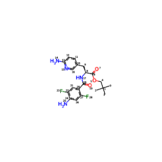 CC(C)(C)COC(=O)[C@H](Cc1ccc(N)nc1)NC(=O)c1cc(F)c(N)cc1F